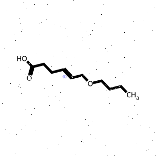 CCCCOC/C=C/CCC(=O)O